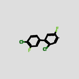 Fc1[c]cc(Cl)c(-c2ccc(Cl)c(F)c2)c1